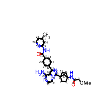 COCC(=O)NC12CCC(c3nc(-c4ccc(C(=O)Nc5cc(C(F)(F)F)ccn5)cc4)c4c(N)nccn34)(CC1)C2